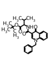 CC(C)C(NC(=O)c1cn(Cc2ccccc2)c2ccccc2c1=O)C(=O)OC(C)(C)C